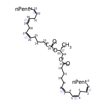 CCCCC/C=C\C/C=C\C/C=C\CCCCC(=O)OC[C@H](C)OC(=O)CCCC/C=C\C/C=C\C/C=C\CCCCC